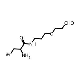 CC(C)CC(N)C(=O)NCCCOCCC=O